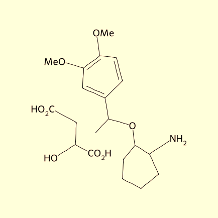 COc1ccc(C(C)OC2CCCCC2N)cc1OC.O=C(O)CC(O)C(=O)O